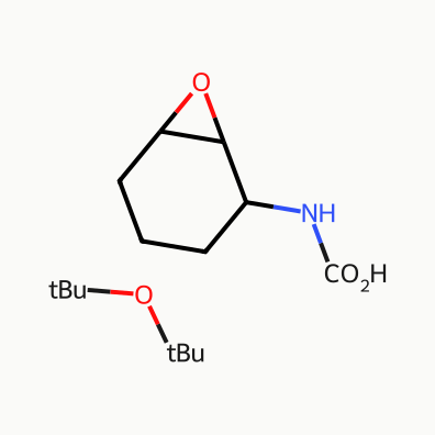 CC(C)(C)OC(C)(C)C.O=C(O)NC1CCCC2OC12